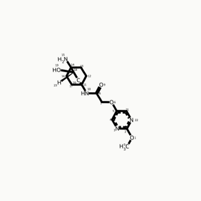 COc1ncc(OCC(=O)NC23CCC(N)(CC2)[C@@H](O)C3)cn1